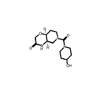 O=C1CO[C@H]2CCN(C(=O)N3CCC(O)CC3)C[C@H]2N1